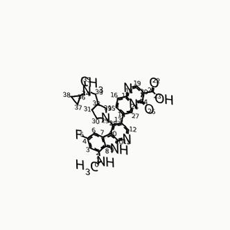 CNc1cc(F)cc2c1[nH]c1ncc(-c3ccc4ncc(C(=O)O)c(=O)n4c3)c(N3CCC(CN(C)C4CC4)C3)c12